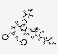 CC[C@H](C)[C@@H]([C@@H](CC(=O)N1CCC[C@H]1[C@H](OC)[C@@H](C)C(=O)N[C@H](COCc1ccccc1)Cc1ccccc1)OC)N(C)[C@H](C(=O)NC(=O)[C@@H](NC)C(C)C)C(C)C.O=C([O-])C(F)(F)F.[Na+]